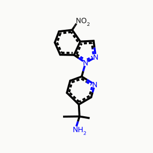 CC(C)(N)c1ccc(-n2ncc3c([N+](=O)[O-])cccc32)nc1